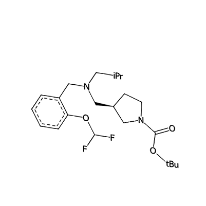 CC(C)CN(Cc1ccccc1OC(F)F)C[C@H]1CCN(C(=O)OC(C)(C)C)C1